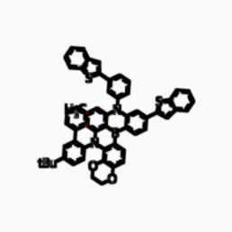 Cc1cc2c3c(c1)N(c1ccc(C(C)(C)C)cc1-c1ccccc1)c1c(ccc4c1OCCO4)B3c1ccc(-c3cc4ccccc4s3)cc1N2c1cccc(-c2cc3ccccc3s2)c1